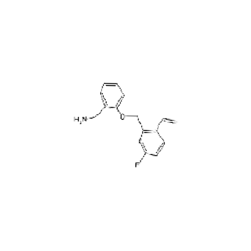 C=Cc1ccc(F)cc1COc1ccccc1CN